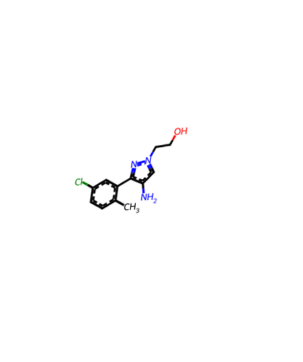 Cc1ccc(Cl)cc1-c1nn(CCO)cc1N